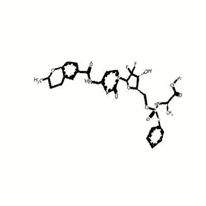 CC(C)OC(=O)[C@@H](C)NP(=O)(OC[C@H]1OC(n2ccc(NC(=O)c3ccc4c(c3)CCC(C)O4)nc2=O)C(F)(F)[C@@H]1O)Oc1ccccc1